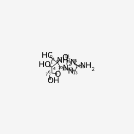 C#C[C@@]1(N)C(O)[C@@H](CO)O[C@H]1n1ncc(N)nc1=O